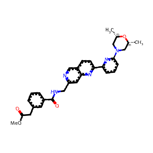 COC(=O)Cc1cccc(C(=O)NCc2cc3nc(-c4cccc(N5C[C@@H](C)O[C@@H](C)C5)n4)ccc3cn2)c1